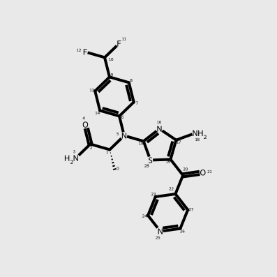 C[C@H](C(N)=O)N(c1ccc(C(F)F)cc1)c1nc(N)c(C(=O)c2ccncc2)s1